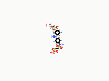 O=S(=O)(O)CCS(=O)(=O)Nc1ccc(Nc2cccc(S(=O)(=O)CCO)c2)cc1